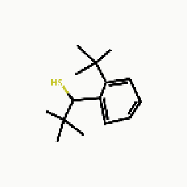 CC(C)(C)c1ccccc1C(S)C(C)(C)C